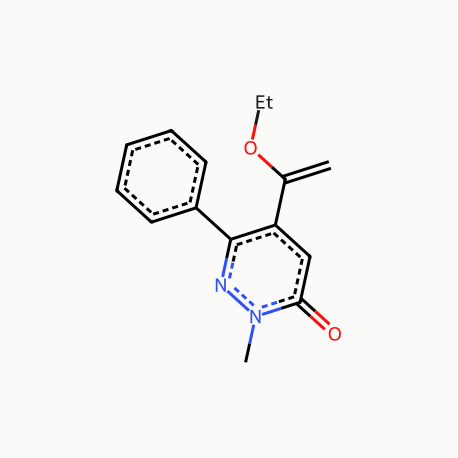 C=C(OCC)c1cc(=O)n(C)nc1-c1ccccc1